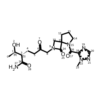 C[C@@H](O)[C@H](CCC(=O)CN1CC2(CCCN2C(=O)c2ncnn2C)C1=O)C(N)=O